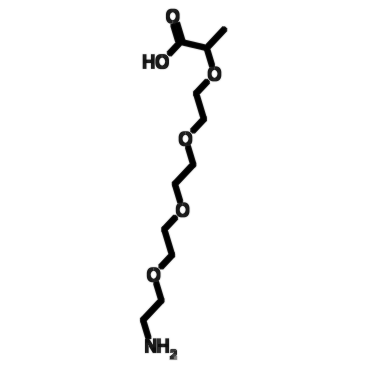 CC(OCCOCCOCCOCCN)C(=O)O